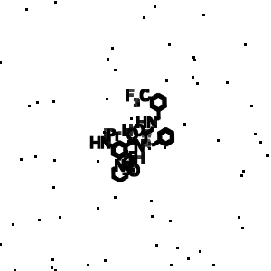 CC(C)Nc1cc(C(=O)N[C@@H](Cc2ccccc2)[C@H](O)CNCc2cccc(C(F)(F)F)c2)c(F)c(N2CCCCS2(=O)=O)c1